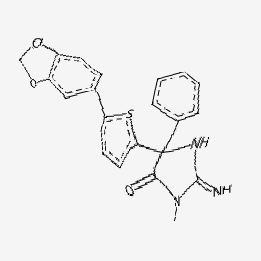 CN1C(=N)NC(c2ccccc2)(c2ccc(-c3ccc4c(c3)OCO4)s2)C1=O